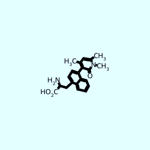 Cc1cc(C)n(C)c(=O)c1-c1ccc(CC(N)C(=O)O)c2ccccc12